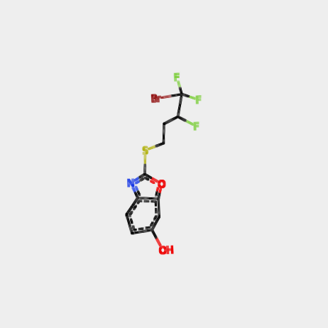 Oc1ccc2nc(SCCC(F)C(F)(F)Br)oc2c1